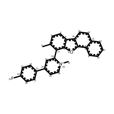 Cc1ccc2c(oc3c4ccccc4ccc23)c1-c1cc(-c2ccc(F)cc2)cc[n+]1C